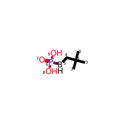 CC(C)(C)CBP(=O)(O)O